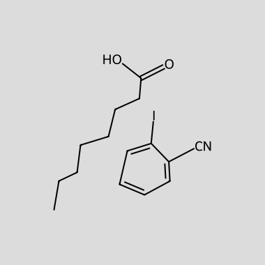 CCCCCCCC(=O)O.N#Cc1ccccc1I